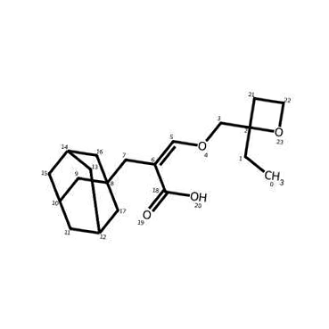 CCC1(COC=C(CC23CC4CC(CC(C4)C2)C3)C(=O)O)CCO1